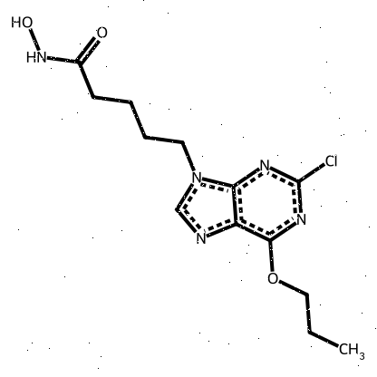 CCCOc1nc(Cl)nc2c1ncn2CCCCC(=O)NO